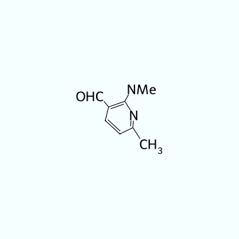 CNc1nc(C)ccc1C=O